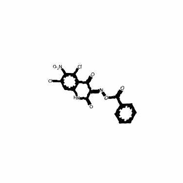 O=C1Nc2cc(Cl)c([N+](=O)[O-])c(Cl)c2C(=O)C1=NOC(=O)c1ccccc1